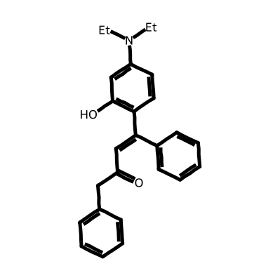 CCN(CC)c1ccc(C(=CC(=O)Cc2ccccc2)c2ccccc2)c(O)c1